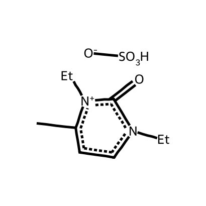 CCn1ccc(C)[n+](CC)c1=O.O=S(=O)([O-])O